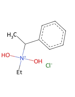 CC[N+](O)(O)C(C)c1ccccc1.[Cl-]